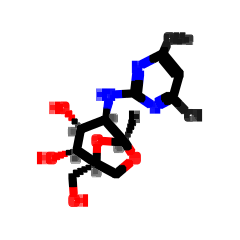 COc1cc(C#N)nc(N[C@H]2[C@H]3OC[C@](CO)(O3)[C@H](O)[C@@H]2O)n1